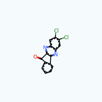 O=C1c2ccccc2-c2nc3cc(Cl)c(Cl)cc3nc21